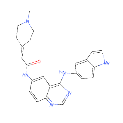 CN1CCC(=CC(=O)Nc2ccc3ncnc(Nc4ccc5[nH]ccc5c4)c3c2)CC1